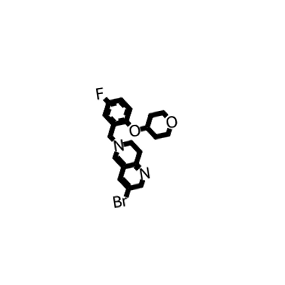 Fc1ccc(OC2CCOCC2)c(CN2C=C3C=C(Br)CN=C3CC2)c1